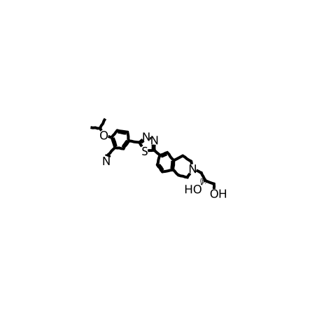 CC(C)Oc1ccc(-c2nnc(-c3ccc4c(c3)CCN(C[C@@H](O)CO)CC4)s2)cc1C#N